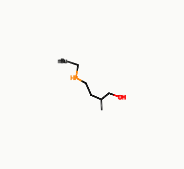 CCCCCPCCC(C)CO